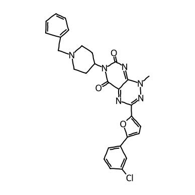 Cn1nc(-c2ccc(-c3cccc(Cl)c3)o2)nc2c(=O)n(C3CCN(Cc4ccccc4)CC3)c(=O)nc1-2